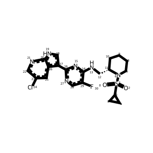 O=S(=O)(C1CC1)N1CCCC[C@H]1CNc1nc(-c2c[nH]c3ncc(Cl)cc23)ncc1F